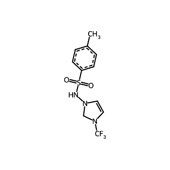 Cc1ccc(S(=O)(=O)NN2C=CN(C(F)(F)F)C2)cc1